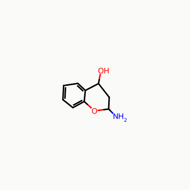 NC1CC(O)c2ccccc2O1